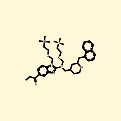 CCC(=O)c1ccc2c(c1)nc(N(COCC[Si](C)(C)C)CC1CCNC(Cc3cccc4ccccc34)C1)n2COCC[Si](C)(C)C